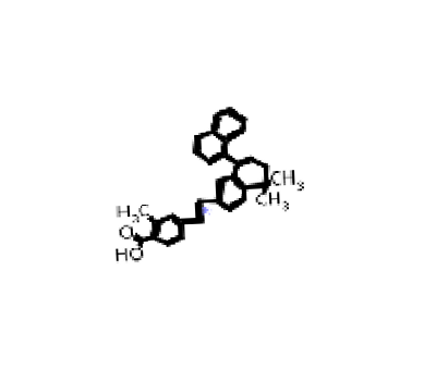 Cc1cc(/C=C/c2ccc3c(c2)C(c2cccc4ccccc24)=CCC3(C)C)ccc1C(=O)O